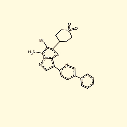 Nc1c(Br)c(C2CCS(=O)(=O)CC2)nc2c(-c3ccc(-c4ccccc4)cn3)cnn12